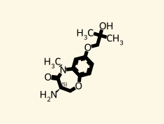 CN1C(=O)[C@@H](N)COc2ccc(OCC(C)(C)O)cc21